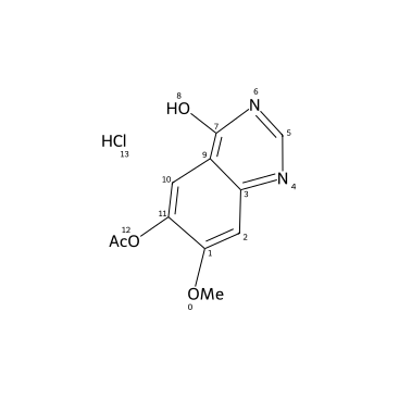 COc1cc2ncnc(O)c2cc1OC(C)=O.Cl